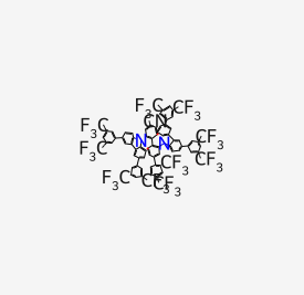 N#Cc1ccc(-c2ccc(-c3ccc(C(F)(F)F)cc3C(F)(F)F)cc2-n2c3ccc(-c4cc(C(F)(F)F)cc(C(F)(F)F)c4)cc3c3cc(-c4cc(C(F)(F)F)cc(C(F)(F)F)c4)ccc32)c(-n2c3ccc(-c4cc(C(F)(F)F)cc(C(F)(F)F)c4)cc3c3cc(-c4cc(C(F)(F)F)cc(C(F)(F)F)c4)ccc32)c1